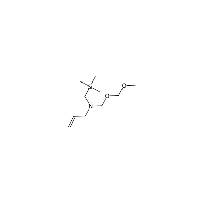 C=CCN(COCOC)C[Si](C)(C)C